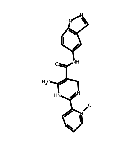 CC1=C(C(=O)Nc2ccc3[nH]ncc3c2)CN=C(c2cccc[n+]2[O-])N1